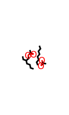 CCCCC(CC)COC(C)=O.CCCCCC(CC)OC(C)=O